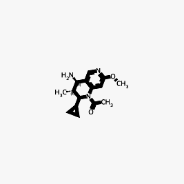 COc1cc2c(cn1)[C@H](N)[C@@H](C)C(C1CC1)N2C(C)=O